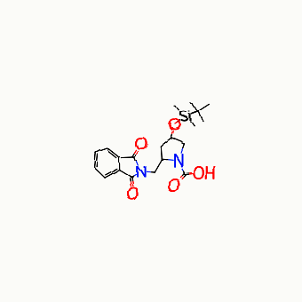 CC(C)(C)[Si](C)(C)OC1CC(CN2C(=O)c3ccccc3C2=O)N(C(=O)O)C1